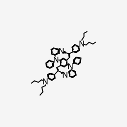 CCCCN(CCCC)c1ccc(/C(C#N)=C/c2cc(N(c3ccccc3)c3ccccc3)c(/C=C(\C#N)c3ccc(N(CCCC)CCCC)cc3)cc2N(c2ccccc2)c2ccccc2)cc1